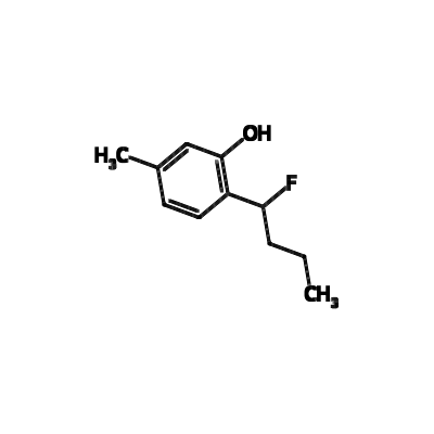 CCCC(F)c1ccc(C)cc1O